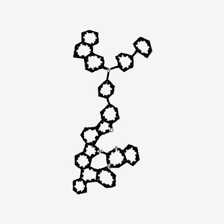 c1ccc(-c2ccc(N(c3ccc(-c4ccc5oc6c(ccc7c8ccc9c%10ccccc%10c%10ccccc%10c9c8n(-c8ncc9ccccc9n8)c76)c5c4)cc3)c3ccc4ccc5ccccc5c4c3)cc2)cc1